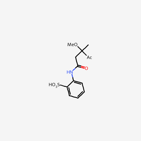 COC(C)(CC(=O)Nc1ccccc1S(=O)(=O)O)C(C)=O